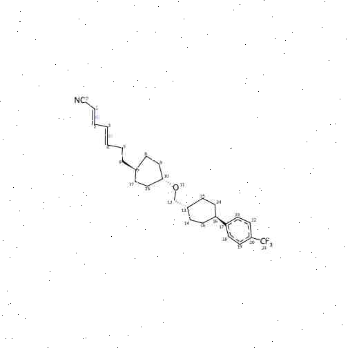 N#C/C=C/C=C/CC[C@H]1CC[C@H](OC[C@H]2CC[C@H](c3ccc(C(F)(F)F)cc3)CC2)CC1